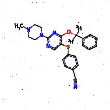 [2H]C([2H])(Oc1nc(N2CCN(C)CC2)ncc1Sc1ccc(C#N)cc1)c1ccccc1